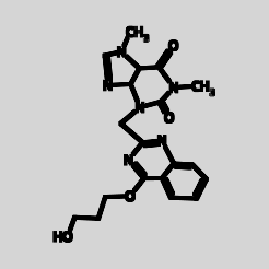 CN1C(=O)C2C(N=CN2C)N(Cc2nc(OCCCO)c3ccccc3n2)C1=O